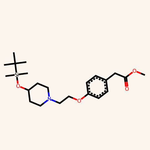 COC(=O)Cc1ccc(OCCN2CCC(O[Si](C)(C)C(C)(C)C)CC2)cc1